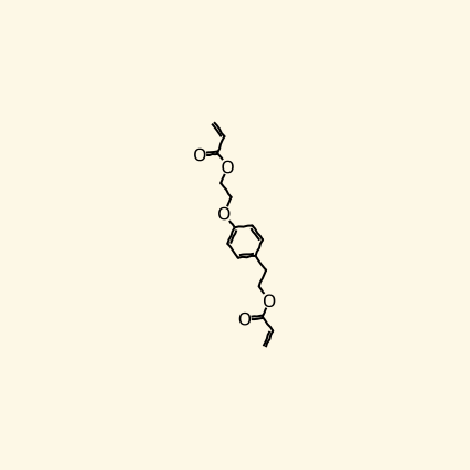 C=CC(=O)OCCOc1ccc(CCOC(=O)C=C)cc1